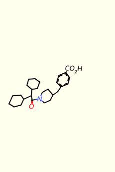 O=C(O)c1ccc(CC2CCN(C(=O)C(C3CCCCC3)C3CCCCC3)CC2)cc1